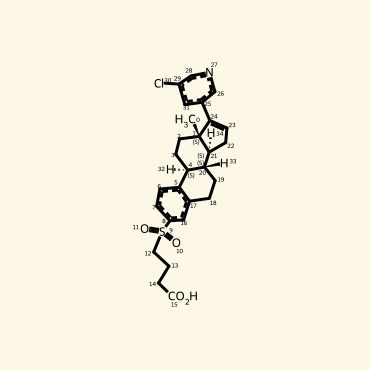 C[C@]12CC[C@@H]3c4ccc(S(=O)(=O)CCCC(=O)O)cc4CC[C@H]3[C@@H]1CC=C2c1cncc(Cl)c1